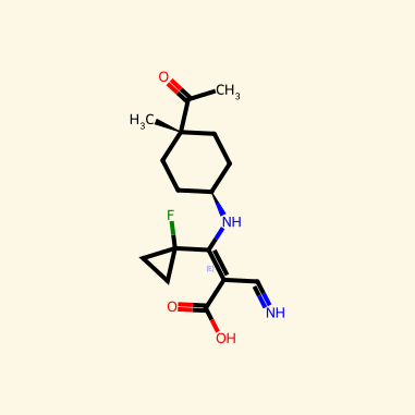 CC(=O)[C@]1(C)CC[C@@H](N/C(=C(\C=N)C(=O)O)C2(F)CC2)CC1